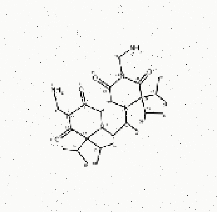 CC(CN1CC(=O)N(CN)C(=O)C1(C(C)C)C(C)C)N1CC(=O)N(CN)C(=O)C1(C(C)C)C(C)C